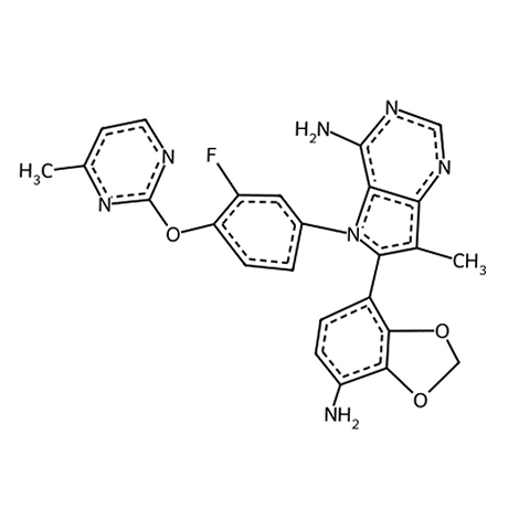 Cc1ccnc(Oc2ccc(-n3c(-c4ccc(N)c5c4OCO5)c(C)c4ncnc(N)c43)cc2F)n1